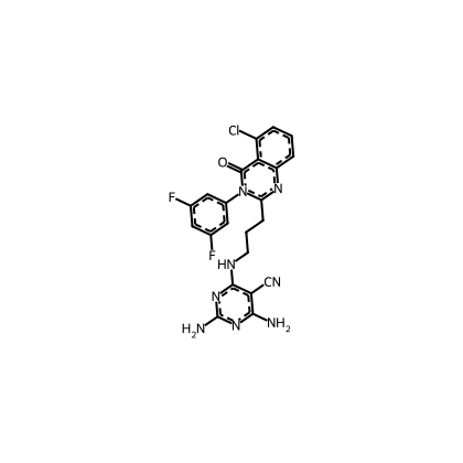 N#Cc1c(N)nc(N)nc1NCCCc1nc2cccc(Cl)c2c(=O)n1-c1cc(F)cc(F)c1